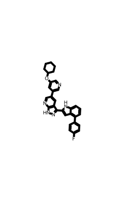 Fc1ccc(-c2cccc3[nH]c(-c4n[nH]c5ncc(-c6cncc(OC7CCCCC7)c6)cc45)cc23)cc1